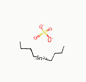 CCC[CH2][Sn+2][CH2]CCC.O=S(=O)([O-])[O-]